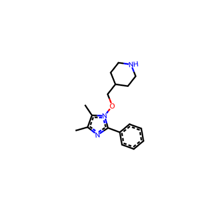 Cc1nc(-c2ccccc2)n(OCC2CCNCC2)c1C